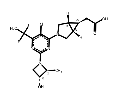 C[C@H]1[C@H](O)CN1c1nc(N2C[C@@H]3[C@@H](CC(=O)O)[C@@H]3C2)c(Cl)c(C(C)(F)F)n1